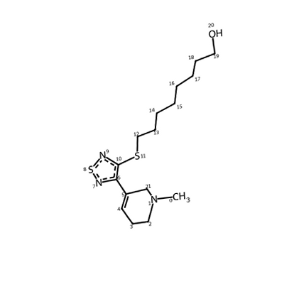 CN1CCC=C(c2nsnc2SCCCCCCCCO)C1